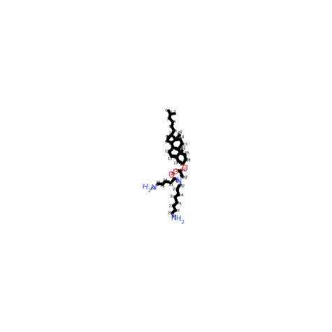 CC(C)CCCCC1CCC2C3CC=C4CC(OC(=O)CN(CCCCCCCCN)C(=O)CCCCN)CCC4(C)C3CCC12C